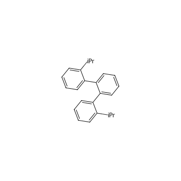 CC(C)c1ccccc1-c1ccccc1-c1ccccc1C(C)C